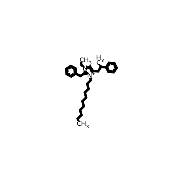 CCCCCCCCCCC[n+]1c(CC(C)c2ccccc2)cn(CC)c1Cc1ccccc1